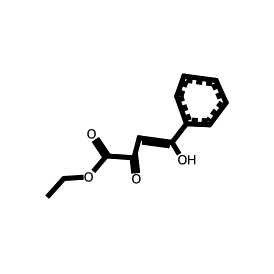 CCOC(=O)C(=O)C=C(O)c1ccccc1